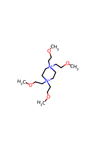 COCC[N+]1(CCOC)CC[N+](CCOC)(CCOC)CC1